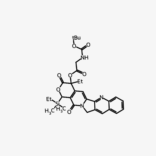 CCC1(OC(=O)CNC(=O)OC(C)(C)C)C(=O)OC([Si](C)(C)CC)c2c1cc1n(c2=O)Cc2cc3ccccc3nc2-1